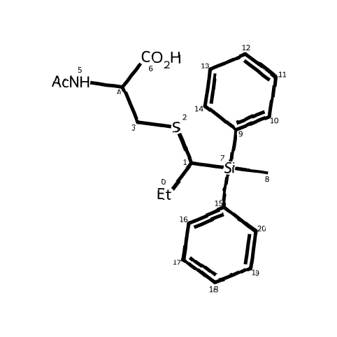 CCC(SCC(NC(C)=O)C(=O)O)[Si](C)(c1ccccc1)c1ccccc1